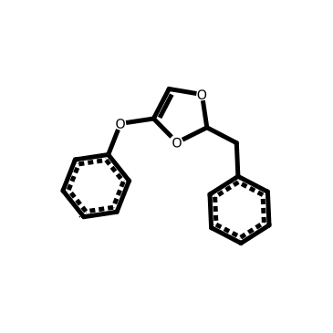 [c]1ccc(OC2=COC(Cc3ccccc3)O2)cc1